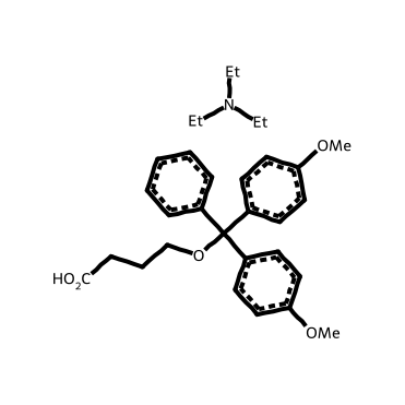 CCN(CC)CC.COc1ccc(C(OCCCC(=O)O)(c2ccccc2)c2ccc(OC)cc2)cc1